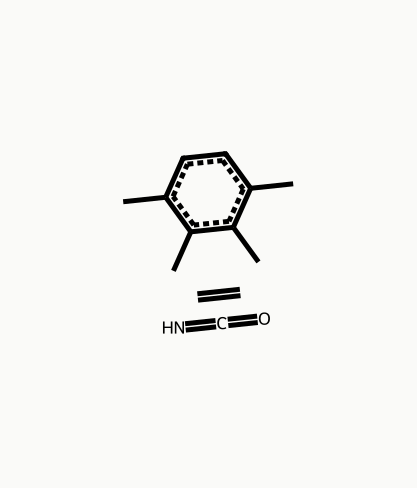 C=C.Cc1ccc(C)c(C)c1C.N=C=O